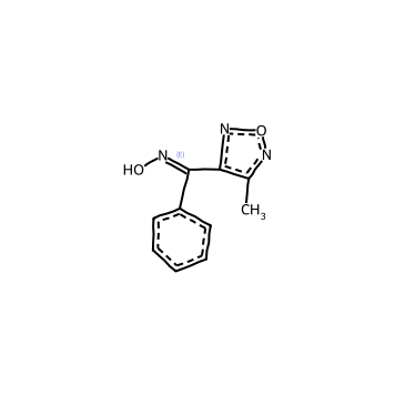 Cc1nonc1/C(=N/O)c1ccccc1